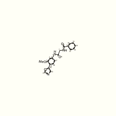 COc1cc(NC(=O)CNC(=O)c2ccccc2)ccc1-c1cnco1